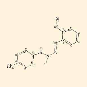 CN(C=Nc1ccccc1C=S)Sc1ccc(Cl)cc1